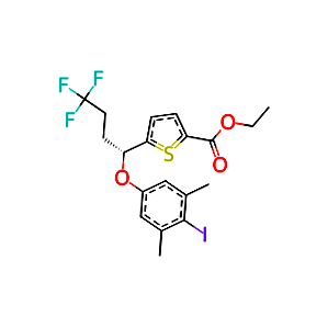 CCOC(=O)c1ccc([C@@H](CCC(F)(F)F)Oc2cc(C)c(I)c(C)c2)s1